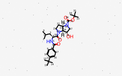 CC(C)C[C@H](NC(=O)c1ccc(C(C)(C)C)cc1)C(=O)N1CC[C@@H]2[C@H]1[C@@H](O)CN2C(=O)OC(C)(C)C